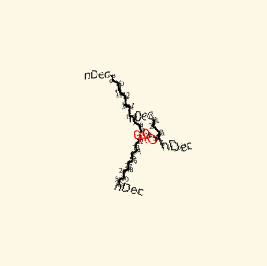 CCCCCCCCCCCCCC(O)CCCCCCCCCC.CCCCCCCCCCCCCCCCCCCCCC(=O)OCCCCCCCCCCCCCCCCCCCC